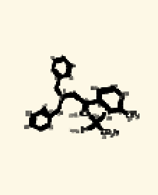 Cc1cc(C(CN(Cc2ccccc2)Cc2ccccc2)OC(F)(F)C(=O)O)ccn1